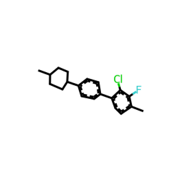 Cc1ccc(-c2ccc(C3CCC(C)CC3)cc2)c(Cl)c1F